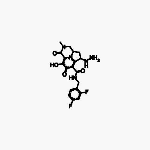 CN1CC2CC(NN)c3c(C(=O)NCc4ccc(F)cc4F)c(=O)c(O)c(n32)C1=O